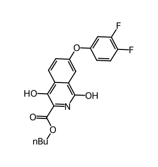 CCCCOC(=O)c1nc(O)c2cc(Oc3ccc(F)c(F)c3)ccc2c1O